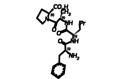 CC(C)C[C@H](NC(=O)[C@@H](N)Cc1ccccc1)C(=O)N[C@@H](C)C(=O)N1CCC[C@H]1C(=O)O